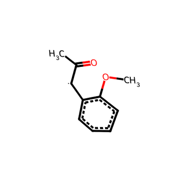 COc1ccccc1[CH]C(C)=O